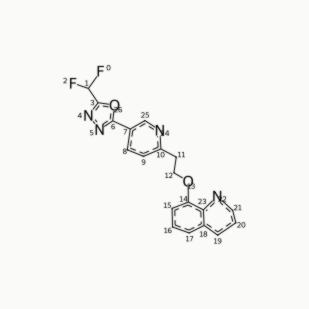 FC(F)c1nnc(-c2ccc(CCOc3cccc4cccnc34)nc2)o1